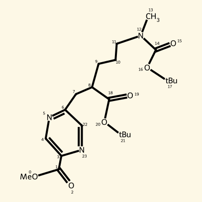 COC(=O)c1cnc(CC(CCCN(C)C(=O)OC(C)(C)C)C(=O)OC(C)(C)C)cn1